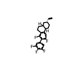 C=C[C@@H]1CC[C@@H]2c3cc(F)c(-c4cc(F)c(F)c(F)c4)c(F)c3CC[C@@H]2C1